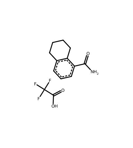 NC(=O)c1cccc2c1CCCC2.O=C(O)C(F)(F)F